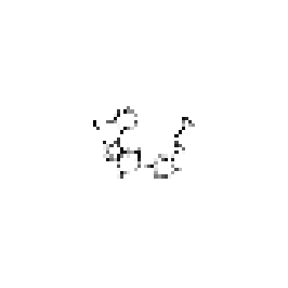 Cc1ccc(C2=Nn3c(nnc3-c3ccccc3Cl)SC2)cc1OCC1CC1